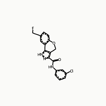 O=C(Nc1cccc(Cl)c1)c1n[nH]c2c1COc1ccc(CF)cc1-2